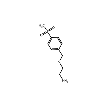 CS(=O)(=O)c1ccc(CSCCN)cc1